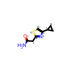 NC(=O)Cc1nc(C2CC2)cs1